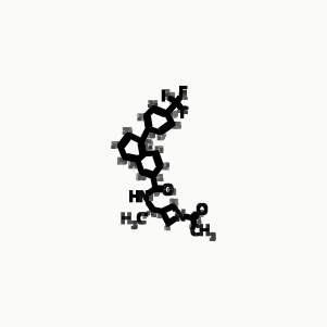 CC(=O)N1CC([C@H](C)NC(=O)c2ccc3c(-c4ccc(C(F)(F)F)cc4)cccc3c2)C1